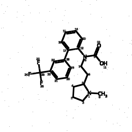 CN1CCCC1CCN(C(=O)O)c1ccccc1-c1cccc(C(F)(F)F)c1